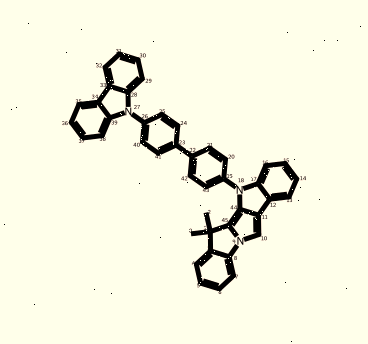 CC1(C)c2ccccc2-n2cc3c4ccccc4n(-c4ccc(-c5ccc(-n6c7ccccc7c7ccccc76)cc5)cc4)c3c21